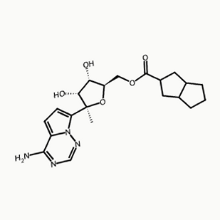 C[C@@]1(c2ccc3c(N)ncnn23)O[C@H](COC(=O)C2CC3CCCC3C2)[C@@H](O)[C@H]1O